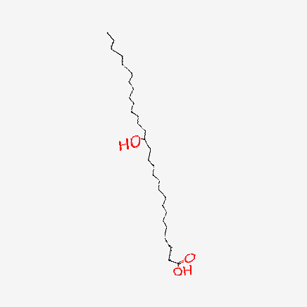 CCCCCCCCCCCCCCC(O)CCCCCCCCCCCCCCC(=O)O